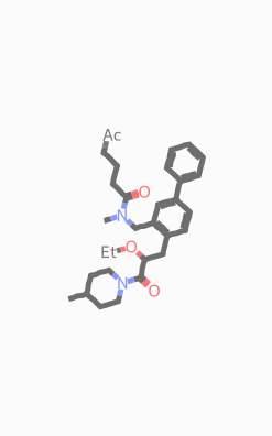 CCOC(Cc1ccc(-c2ccccc2)cc1CN(C)C(=O)CCCC(C)=O)C(=O)N1CCC(C)CC1